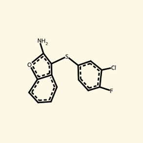 Nc1oc2ccccc2c1Sc1ccc(F)c(Cl)c1